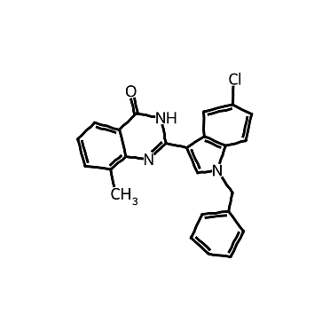 Cc1cccc2c(=O)[nH]c(-c3cn(Cc4ccccc4)c4ccc(Cl)cc34)nc12